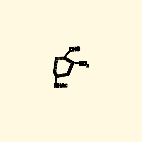 CC(=O)Nc1ccc(C=O)c([N+](=O)[O-])c1